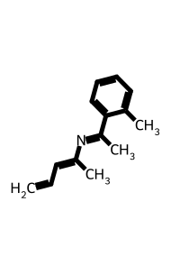 C=C/C=C(C)/N=C(\C)c1ccccc1C